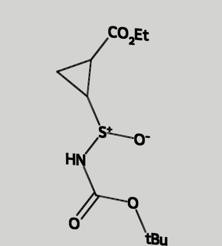 CCOC(=O)C1CC1[S+]([O-])NC(=O)OC(C)(C)C